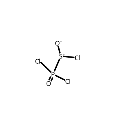 O=P(Cl)(Cl)[S+]([O-])Cl